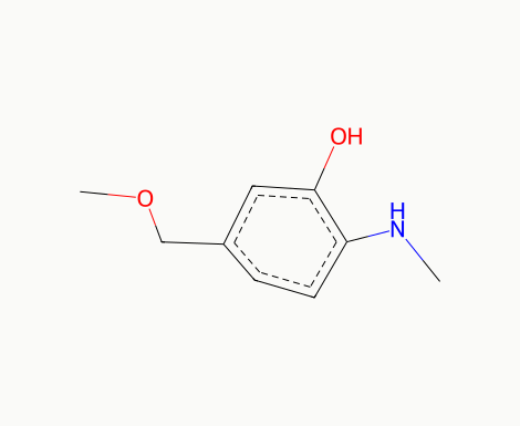 CNc1ccc(COC)cc1O